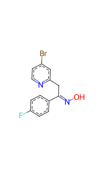 O/N=C(\Cc1cc(Br)ccn1)c1ccc(F)cc1